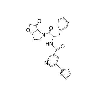 O=C(NC(Cc1ccccc1)C(=O)N1CCC2OCC(=O)C21)c1cncc(-c2cccs2)c1